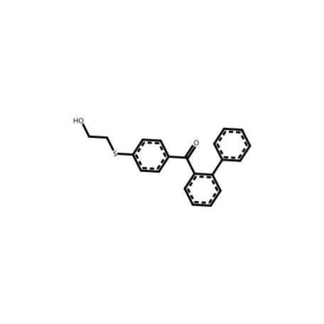 O=C(c1ccc(SCCO)cc1)c1ccccc1-c1ccccc1